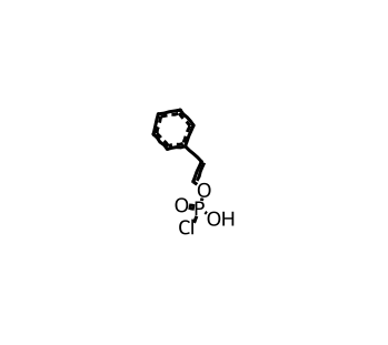 O=P(O)(Cl)OC=Cc1ccccc1